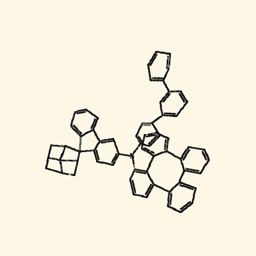 c1ccc(-c2cccc(-c3ccc(N(c4ccc5c(c4)-c4ccccc4C54C5CC6CC7CC4C675)c4cccc5c4-c4ccccc4-c4ccccc4-c4ccccc4-5)cc3)c2)cc1